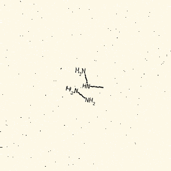 CNN.NN